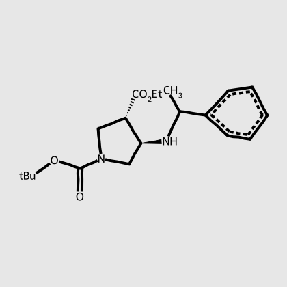 CCOC(=O)[C@H]1CN(C(=O)OC(C)(C)C)C[C@@H]1NC(C)c1ccccc1